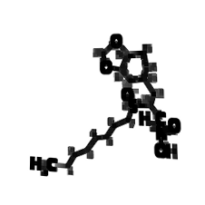 CCCCCCCC[S+]([O-])C(C)Cc1ccc2c(c1)OCO2.O=NO